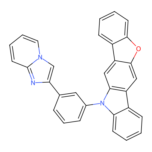 c1cc(-c2cn3ccccc3n2)cc(-n2c3ccccc3c3cc4oc5ccccc5c4cc32)c1